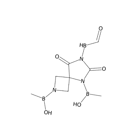 CB(O)N1CC2(C1)C(=O)N(BC=O)C(=O)N2B(C)O